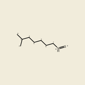 CC(C)CCCCC[SiH]=S